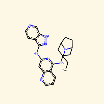 N#CCCN1C2CCC1CC(Nc1nc(Nc3n[nH]c4cnccc34)cc3ncccc13)C2